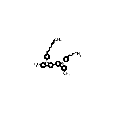 C=C/C=C/CCCCc1ccc(-n2c3cc(C)ccc3c3ccc(-c4ccc5c(c4)c4cc(C)ccc4n5-c4ccc(CCCC)cc4)cc32)cc1